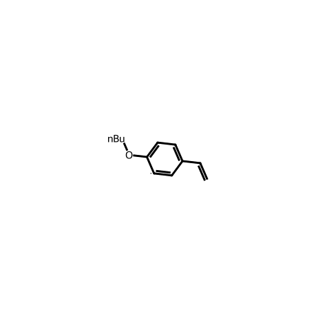 C=Cc1c[c]c(OCCCC)cc1